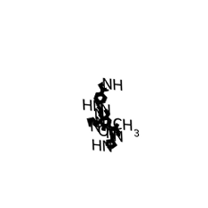 Cc1cnc(C2CCNC2)nc1-c1cc2cnc(Nc3ccc(C4CCNC4)cc3)nc2n(C2=NC=CC2)c1=O